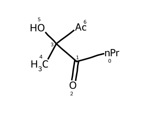 CCCC(=O)C(C)(O)C(C)=O